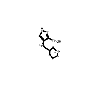 Cc1n[nH]cc1NC1CCCNC1.Cl